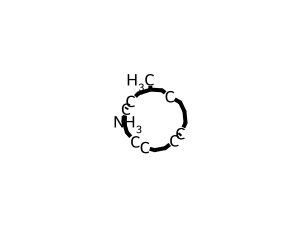 CC1CCCCCCCCCCCCCCCC1.N